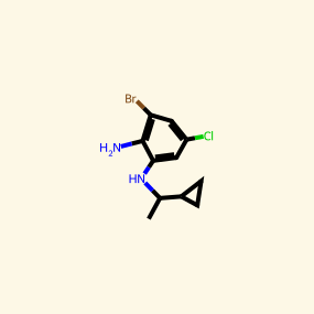 CC(Nc1cc(Cl)cc(Br)c1N)C1CC1